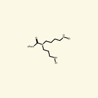 CCCCCC(=O)N(CCCCNCC)CCCNCC